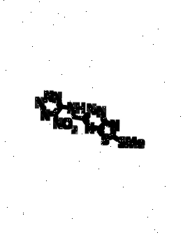 CSc1nc2nnc(CNc3nnnnc3[N+](=O)[O-])nc2s1